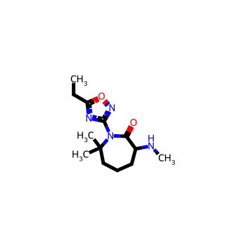 CCc1nc(N2C(=O)C(NC)CCCC2(C)C)no1